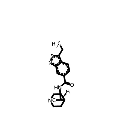 CCc1snc2cc(C(=O)N[C@H]3CN4CCC3CC4)ccc12